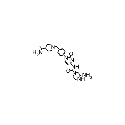 CC(N)C1CCN(Cc2ccc(-n3ccc(NC(=O)N4CCN[C@H](N)C4)nc3=O)cc2)CC1